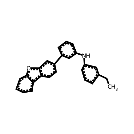 CCc1cccc(Nc2cccc(-c3ccc4c(c3)oc3ccccc34)c2)c1